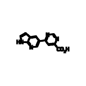 O=C(O)c1cc(-c2cnc3[nH]ccc3c2)ncn1